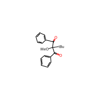 COC(C(=O)c1ccccc1)(C(=O)c1ccccc1)C(C)(C)C